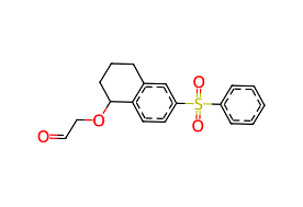 O=CCOC1CCCc2cc(S(=O)(=O)c3ccccc3)ccc21